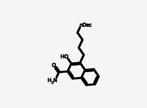 CCCCCCCCCCCCCCc1c(O)c(C(N)=O)cc2ccccc12